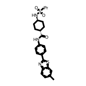 Cc1ccc2nc(-c3ccc(NC(=O)[C@H]4CC[C@H](NS(=O)(=O)C(C)C)CC4)cc3)sc2c1